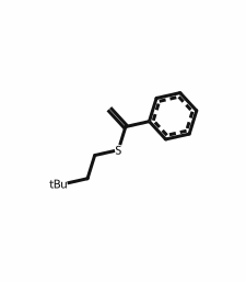 C=C(SCCC(C)(C)C)c1ccccc1